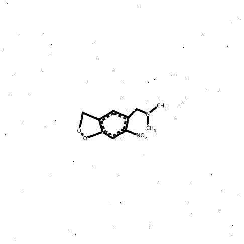 CN(C)Cc1cc2c(cc1[N+](=O)[O-])OOC2